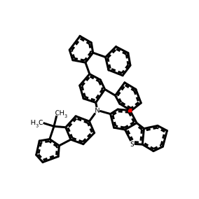 CC1(C)c2ccccc2-c2ccc(N(c3ccc4c(c3)sc3ccccc34)c3ccc(-c4ccccc4-c4ccccc4)cc3-c3ccccc3)cc21